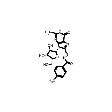 Cc1ccc(C(=O)N=Nc2nc3c(=O)[nH]c(N)nc3n2[C@@H]2O[C@H](CO)[C@@H](O)[C@H]2O)cc1